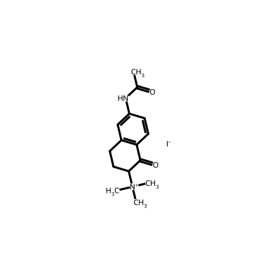 CC(=O)Nc1ccc2c(c1)CCC([N+](C)(C)C)C2=O.[I-]